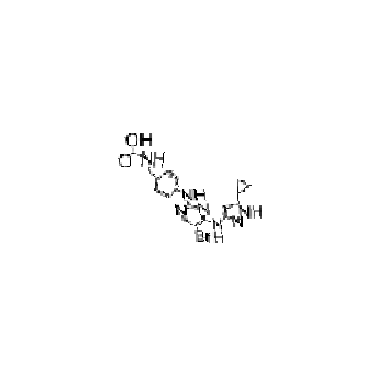 O=C(O)NCc1ccc(Nc2ncc(Br)c(Nc3cc(C4CC4)[nH]n3)n2)cc1